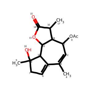 CC(=O)OC1C=C(C)C2=CCC(C)(O)C2C2OC(=O)C(C)C12